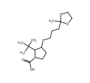 CC1(CCCOC2CCN(C(=O)O)C2C(C)(C)C)OCCO1